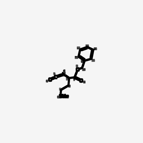 CSCCC(N=C=O)C(=O)OCc1ccccc1